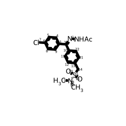 CC(=O)NN=C(c1ccc(Cl)cc1)c1ccc(CS(=O)(=O)N(C)C)cc1